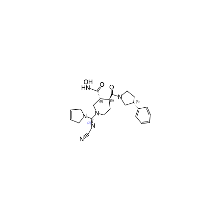 N#C/N=C(\N1CC=CC1)N1CC[C@H](C(=O)N2CC[C@H](c3ccccc3)C2)[C@@H](C(=O)NO)C1